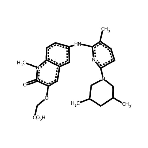 Cc1ccc(N2CC(C)CC(C)C2)nc1Nc1ccc2c(c1)cc(OCC(=O)O)c(=O)n2C